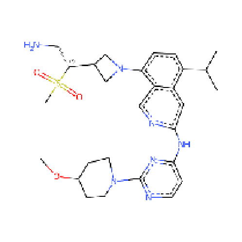 COC1CCN(c2nccc(Nc3cc4c(C(C)C)ccc(N5CC([C@@H](CN)S(C)(=O)=O)C5)c4cn3)n2)CC1